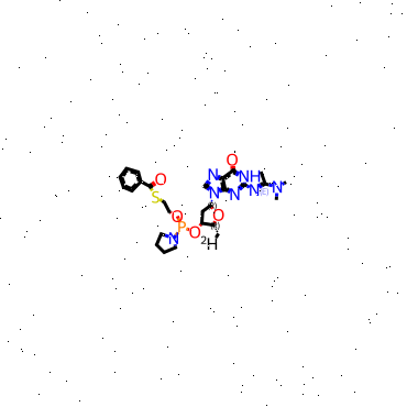 [2H]C[C@H]1O[C@@H](n2cnc3c(=O)[nH]c(/N=C(\C)N(C)C)nc32)CC1OP(OCCSC(=O)c1ccccc1)N1CCCC1